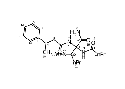 CCCC(=O)NC(NC(=O)CC(C)c1ccccc1)(C(N)=O)C(CCC)NC